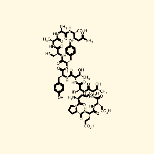 CC(C)[C@H](NC(=O)[C@@H](NC(=O)[C@H](CC(=O)O)NC(=O)[C@H](CCC(=O)O)NC(=O)[C@@H]1CCCN1C(=O)[C@@H](N)CCC(=O)O)[C@@H](C)O)C(=O)N[C@H](C(=O)N[C@@H](Cc1ccc(O)cc1)C(=O)N[C@@H](Cc1ccc(O)cc1)C(=O)N[C@@H](CS)C(=O)N[C@@H](C)C(=O)N[C@@H](C)C(=O)N[C@@H](CCC(N)=O)C(=O)O)[C@@H](C)O